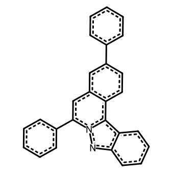 c1ccc(-c2ccc3c(c2)cc(-c2ccccc2)n2nc4ccccc4c32)cc1